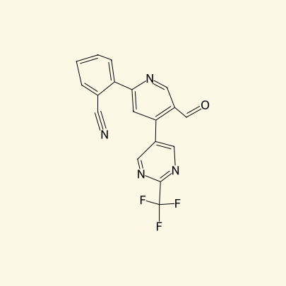 N#Cc1ccccc1-c1cc(-c2cnc(C(F)(F)F)nc2)c(C=O)cn1